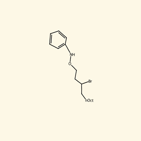 CCCCCCCCCC(Br)CCONc1ccccc1